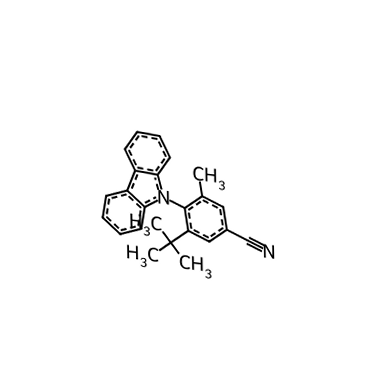 Cc1cc(C#N)cc(C(C)(C)C)c1-n1c2ccccc2c2ccccc21